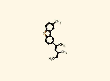 C/C=C(C)\C=C(/C)c1ccc2sc3ccc(C)cc3c2c1